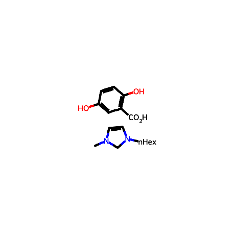 CCCCCCN1C=CN(C)C1.O=C(O)c1cc(O)ccc1O